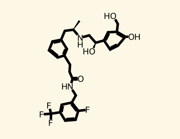 C[C@H](Cc1cccc(CCC(=O)NCc2cc(C(F)(F)F)ccc2F)c1)NC[C@H](O)c1ccc(O)c(CO)c1